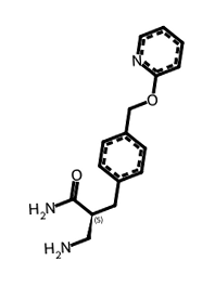 NC[C@H](Cc1ccc(COc2ccccn2)cc1)C(N)=O